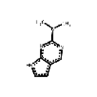 CN(C)c1ncc2cc[nH]c2n1